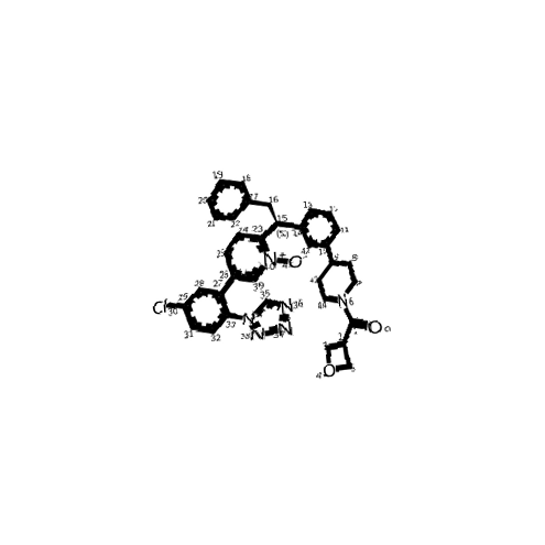 O=C(C1COC1)N1CCC(c2cccc([C@H](Cc3ccccc3)c3ccc(-c4cc(Cl)ccc4-n4cnnn4)c[n+]3[O-])c2)CC1